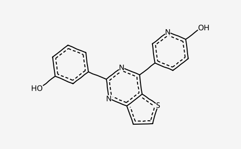 Oc1cccc(-c2nc(-c3ccc(O)nc3)c3sccc3n2)c1